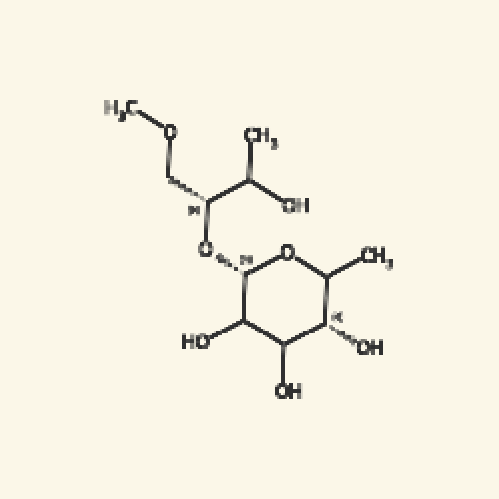 COC[C@@H](O[C@@H]1OC(C)[C@H](O)C(O)C1O)C(C)O